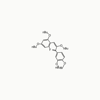 C=C(/C(=C\c1c(F)cc(OCCCC)cc1OCCCC)OCCCC)c1ccc(OBr)c(OCCCC)c1